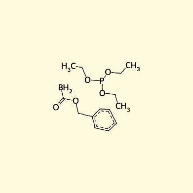 BC(=O)OCc1ccccc1.CCOP(OCC)OCC